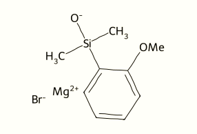 COc1ccccc1[Si](C)(C)[O-].[Br-].[Mg+2]